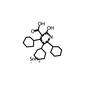 O=C(O)c1c(O)nc(C2CCCCC2)c(C2CCCCC2)c1C1CCCCC1.[SnH2]